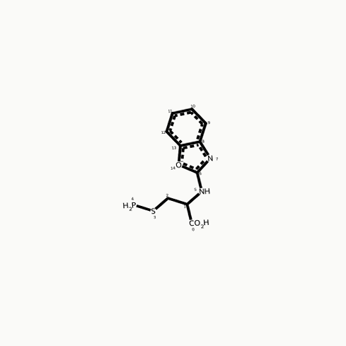 O=C(O)C(CSP)Nc1nc2ccccc2o1